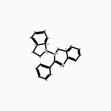 c1ccc(C2=Nc3ccccc3CN2N2CCc3ccccc32)cc1